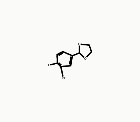 Fc1ccc(C2OCCO2)cc1Br